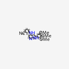 COc1cc(-c2cc3c(Nc4cccc(C#N)c4)ccnc3[nH]2)cc(OC)c1OC